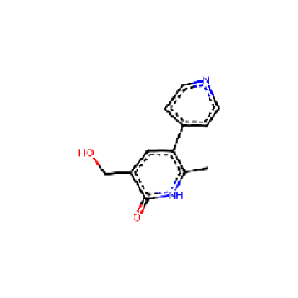 Cc1[nH]c(=O)c(CO)cc1-c1ccncc1